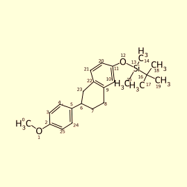 COc1c[c]c(C2CCc3cc(O[Si](C)(C)C(C)(C)C)ccc3C2)cc1